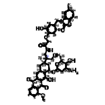 COc1cccc2c1C(=O)c1c(cc3c(c1O)[C@@H](OC1CC(N)C(O)[C@H](C)O1)C[C@](C)(/C(=C/NC(=O)COc1ccc(Cn4c(=O)oc5ccc(C)cc54)cc1O)CO)C3)C2=O